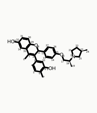 CC1=C(c2ccc(C)c(O)c2)C(c2ccc(OC[C@H](C)N3CC[C@@H](C)C3)cc2)Oc2ccc(O)cc21